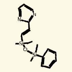 C[Si](C)(C=Cc1ncccn1)O[Si](C)(C)c1ccccc1